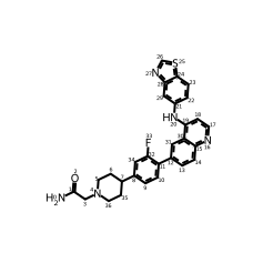 NC(=O)CN1CCC(c2ccc(-c3ccc4nccc(Nc5ccc6scnc6c5)c4c3)c(F)c2)CC1